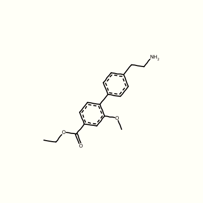 CCOC(=O)c1ccc(-c2ccc(CCN)cc2)c(OC)c1